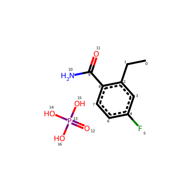 CCc1cc(F)ccc1C(N)=O.O=P(O)(O)O